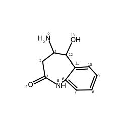 NC1CC(=O)Nc2ccccc2C1O